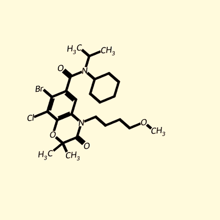 COCCCCN1C(=O)C(C)(C)Oc2c1cc(C(=O)N(C(C)C)C1CCCCC1)c(Br)c2Cl